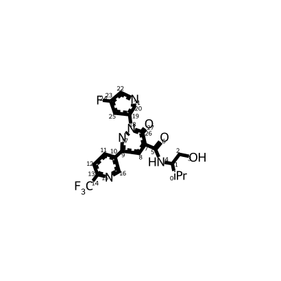 CC(C)C(CO)NC(=O)c1cc(-c2ccc(C(F)(F)F)nc2)nn(-c2cncc(F)c2)c1=O